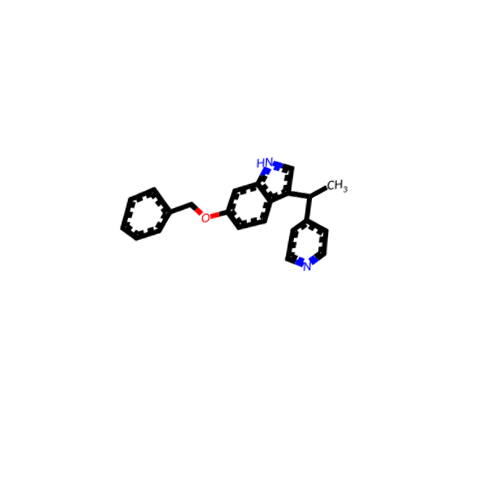 CC(c1ccncc1)c1c[nH]c2cc(OCc3ccccc3)ccc12